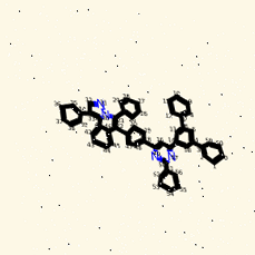 c1ccc(-c2cc(-c3ccccc3)cc(-c3cc(-c4ccc(-c5c(-c6ccccc6)n6ncc(-c7ccccc7)c6c6ccccc56)cc4)nc(-c4ccccc4)n3)c2)cc1